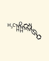 CCNC(=O)Nc1ccc2ncc(N3CCN(c4ccccc4)CC3)nc2n1